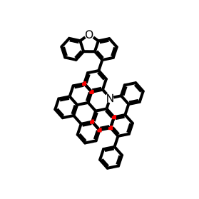 c1ccc(-c2ccc(-c3ccccc3N(c3cccc(-c4cccc5oc6ccccc6c45)c3)c3ccccc3-c3cccc4cccc(-c5ccccc5)c34)cc2)cc1